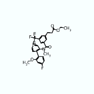 CCOC(=O)CCc1cc(C(=O)N(C)c2cnccc2-c2ccc(F)cc2OC)cc(C(F)(F)F)c1